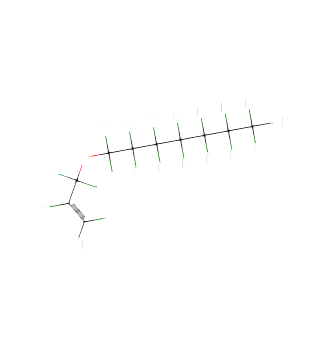 FC(=C(F)C(F)(F)OC(F)(F)C(F)(F)C(F)(F)C(F)(F)C(F)(F)C(F)(F)C(F)(F)C(F)(F)F)C(F)(F)F